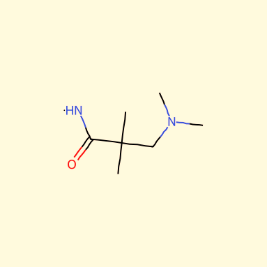 CN(C)CC(C)(C)C([NH])=O